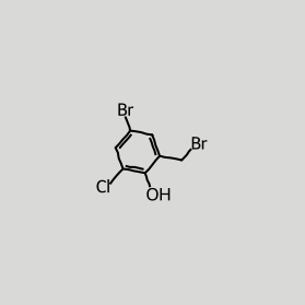 Oc1c(Cl)cc(Br)cc1CBr